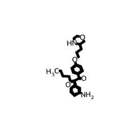 CCCCc1oc2ccc(N)cc2c1C(=O)c1ccc(OCCCC2COCCN2)cc1